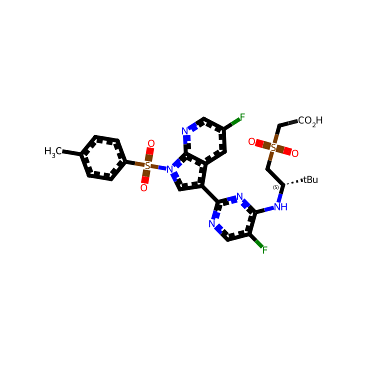 Cc1ccc(S(=O)(=O)n2cc(-c3ncc(F)c(N[C@H](CS(=O)(=O)CC(=O)O)C(C)(C)C)n3)c3cc(F)cnc32)cc1